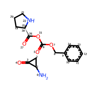 NC1CC1=O.O=C(OCc1ccccc1)OC(=O)[C@@H]1CCCN1